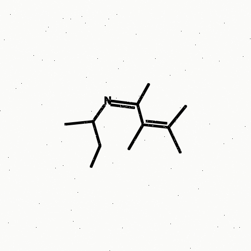 CCC(C)/N=C(/C)C(C)=C(C)C